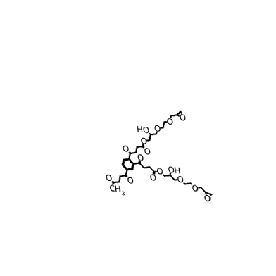 CC(=O)CCC(=O)c1ccc(C(=O)CCC(=O)OCC(O)COCCOCC2CO2)c(C(=O)CCC(=O)OCC(O)COCCOCC2CO2)c1